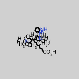 CN1C(C)(C)CC(C(CCCCCCCC(=O)O)(C(=O)O)C2CC(C)(C)N(C)C(C)(C)C2)CC1(C)C.c1ccc2[nH]nnc2c1